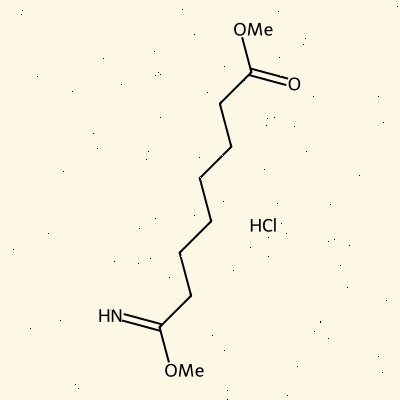 COC(=N)CCCCCCC(=O)OC.Cl